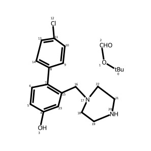 CC(C)(C)OC=O.Oc1ccc(-c2ccc(Cl)cc2)c(CN2CCNCC2)c1